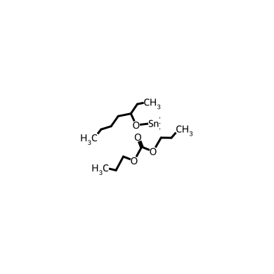 CCCCC(CC)[O][Sn].CCCOC(=O)OCCC